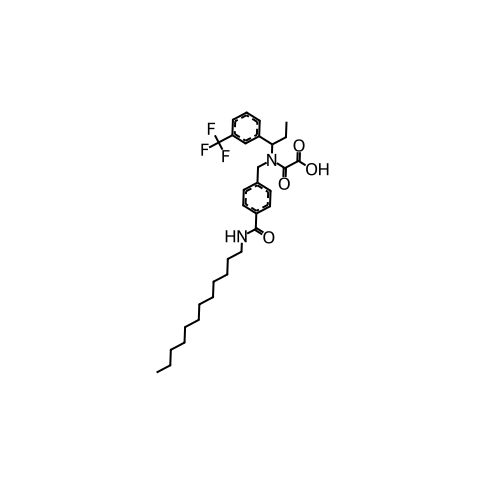 CCCCCCCCCCCCNC(=O)c1ccc(CN(C(=O)C(=O)O)C(CC)c2cccc(C(F)(F)F)c2)cc1